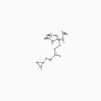 CCCCO[Si](CCC(C)OCC1CO1)(OCCCC)OCCCC